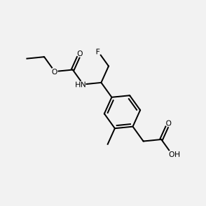 CCOC(=O)NC(CF)c1ccc(CC(=O)O)c(C)c1